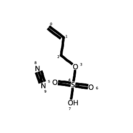 C=CCOS(=O)(=O)O.N#N